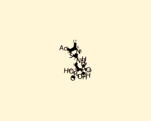 CC(=O)c1sc(NCC(P(=O)(O)O)P(=O)(O)O)nc1C